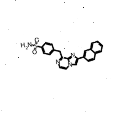 NS(=O)(=O)c1ccc(Cc2nccn3cc(-c4ccc5ccccc5c4)nc23)cc1